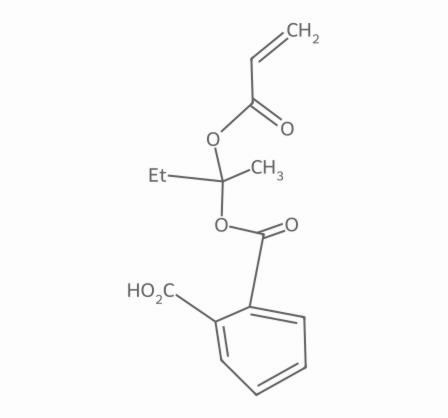 C=CC(=O)OC(C)(CC)OC(=O)c1ccccc1C(=O)O